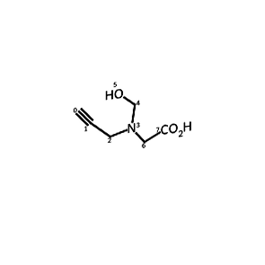 C#CCN(CO)CC(=O)O